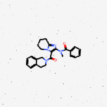 CN(C(=O)c1ccccc1)c1nc2n(c1C(=O)N1CCc3ccccc3C1)CCCC2